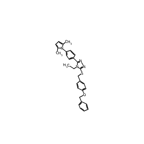 CCn1c(SCc2ccc(OCc3ccccc3)cc2)nnc1-c1ccc(-n2c(C)ccc2C)cc1